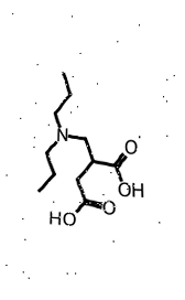 CCCN(CCC)CC(CC(=O)O)C(=O)O